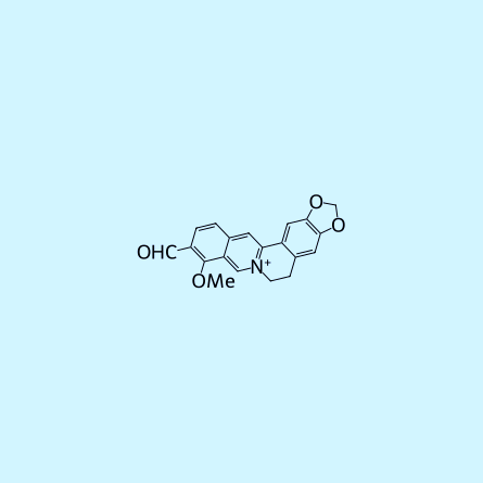 COc1c(C=O)ccc2cc3[n+](cc12)CCc1cc2c(cc1-3)OCO2